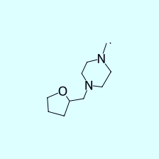 [CH2]N1CCN(CC2CCCO2)CC1